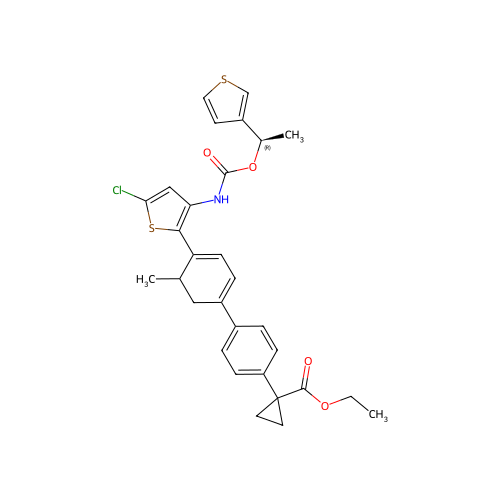 CCOC(=O)C1(c2ccc(C3=CC=C(c4sc(Cl)cc4NC(=O)O[C@H](C)c4ccsc4)C(C)C3)cc2)CC1